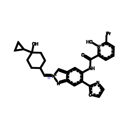 CC(C)c1cccc(C(=O)Nc2cc3c(cc2-c2ncco2)=N/[N+](=C/C2CCC(O)(C4CC4)CC2)C=3)[n+]1O